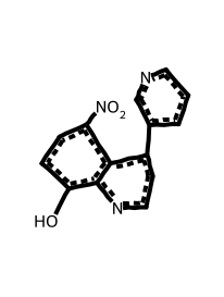 O=[N+]([O-])c1ccc(O)c2nccc(-c3cccnc3)c12